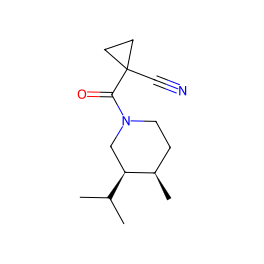 CC(C)[C@H]1CN(C(=O)C2(C#N)CC2)CC[C@H]1C